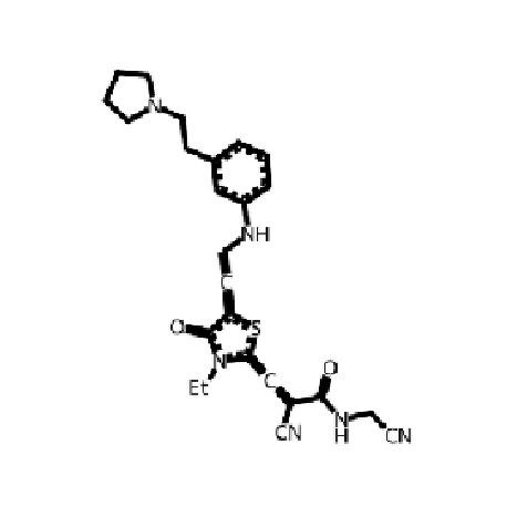 CCn1c(=C=C(C#N)C(=O)NCC#N)sc(=C=CNc2cccc(CCN3CCCC3)c2)c1=O